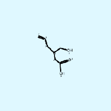 C=CCC(CO)CC(=O)O